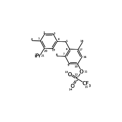 Cc1ccc(Cc2c(C)cc(OS(=O)(=O)C(F)(F)F)cc2C)cc1C(C)C